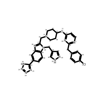 Clc1ccc(Cc2nccc(OC3CCN(Cc4nc5cc(-c6nnn[nH]6)ccc5n4Cc4cn[nH]c4)CC3)n2)cc1